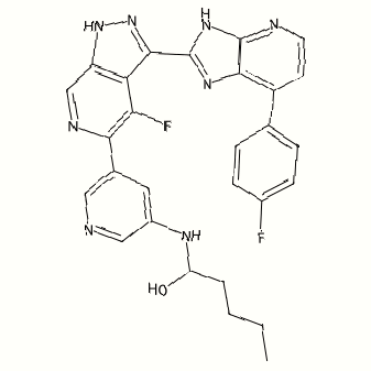 CCCCC(O)Nc1cncc(-c2ncc3[nH]nc(-c4nc5c(-c6ccc(F)cc6)ccnc5[nH]4)c3c2F)c1